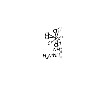 [Cl][Pd-3]([Cl])([Cl])([Cl])([Cl])([Cl])[Cl].[NH4+].[NH4+].[NH4+]